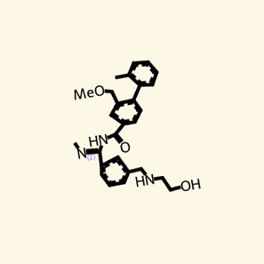 C/N=C(\NC(=O)c1ccc(-c2ccccc2C)c(COC)c1)c1cccc(CNCCO)c1